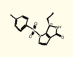 CC[C@H]1NC(=O)c2ccn(S(=O)(=O)c3ccc(C)cc3)c21